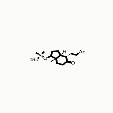 CC(=O)CC[C@@H]1C(=O)CC[C@]2(C)C(O[Si](C)(C)C(C)(C)C)CC[C@@H]12